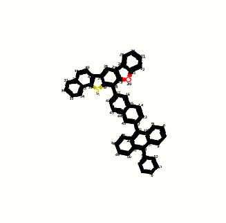 c1ccc(-c2c3ccccc3c(-c3ccc4cc(-c5c6oc7ccccc7c6cc6c5sc5c7ccccc7ccc65)ccc4c3)c3ccccc23)cc1